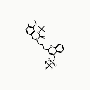 COc1cc(CN(CCCC2C=C(OS(=O)(=O)C(F)(F)F)c3ccccc3O2)C(=O)OC(C)(C)C)ccc1F